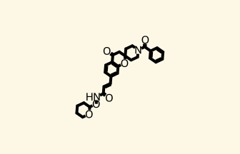 O=C(C=Cc1ccc2c(c1)OC1(CCN(C(=O)c3ccccc3)CC1)CC2=O)NOC1CCCCO1